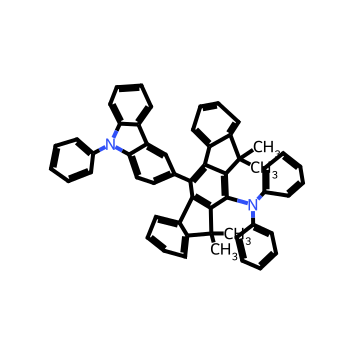 CC1(C)c2ccccc2-c2c(-c3ccc4c(c3)c3ccccc3n4-c3ccccc3)c3c(c(N(c4ccccc4)c4ccccc4)c21)C(C)(C)c1ccccc1-3